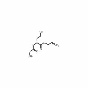 C=CCOC(=O)[C@@H](CCO)NC(=O)OC(C)(C)C